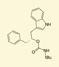 CC(C)(C)NC(=O)O[C@H](Cc1ccccc1)Cc1c[nH]c2ccccc12